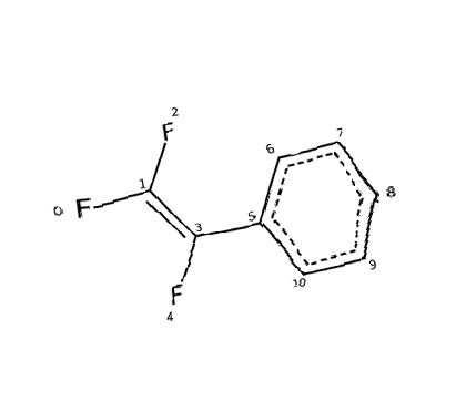 FC(F)=C(F)c1cc[c]cc1